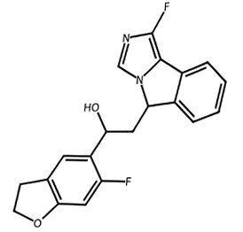 OC(CC1c2ccccc2-c2c(F)ncn21)c1cc2c(cc1F)OCC2